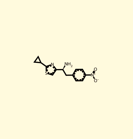 N[C@@H](Cc1ccc([N+](=O)[O-])cc1)c1csc(C2CC2)n1